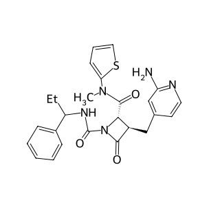 CCC(NC(=O)N1C(=O)[C@H](Cc2ccnc(N)c2)[C@H]1C(=O)N(C)c1cccs1)c1ccccc1